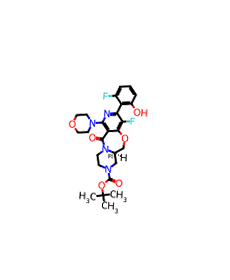 CC(C)(C)OC(=O)N1CCN2C(=O)c3c(N4CCOCC4)nc(-c4c(O)cccc4F)c(F)c3OC[C@H]2C1